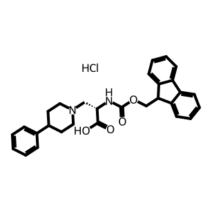 Cl.O=C(N[C@@H](CN1CCC(c2ccccc2)CC1)C(=O)O)OCC1c2ccccc2-c2ccccc21